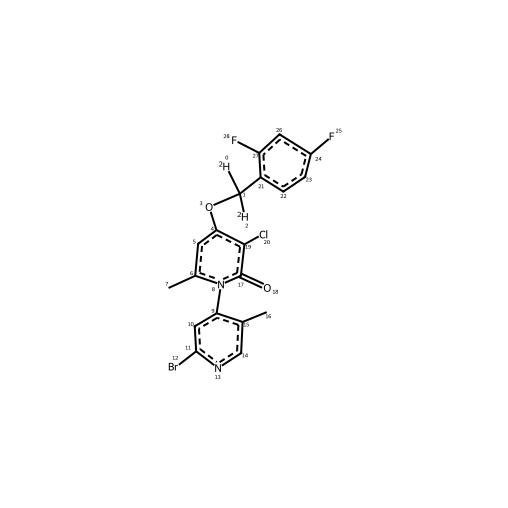 [2H]C([2H])(Oc1cc(C)n(-c2cc(Br)ncc2C)c(=O)c1Cl)c1ccc(F)cc1F